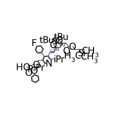 CC(C)c1nc(C(C)C)c(COCP(=O)(O)Oc2ccccc2)c(-c2ccc(F)cc2)c1/C=C/[C@@H]1C[C@H](CC(=O)OCC[Si](C)(C)C)O[Si](C(C)(C)C)(C(C)(C)C)O1